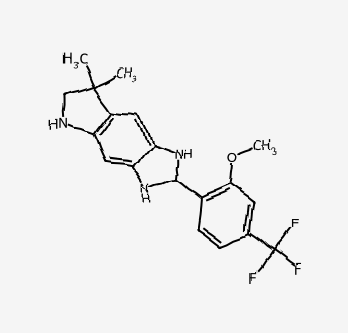 COc1cc(C(F)(F)F)ccc1C1Nc2cc3c(cc2N1)C(C)(C)CN3